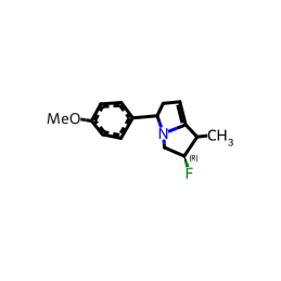 COc1ccc(C2CC=C3C(C)[C@@H](F)CN32)cc1